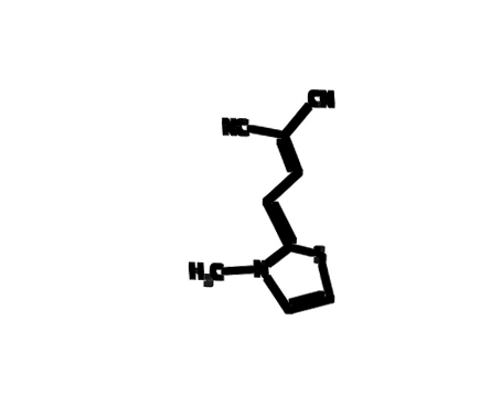 CN1C=CSC1=CC=C(C#N)C#N